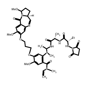 C=CN(C)C(=O)c1cc(OC)c(OCCCOc2cc3c(cc2OC)C(=O)N2C(OC)CC[C@H]2C=N3)cc1N(C)C(C)NC(=O)[C@H](C)NC(=O)[C@H](CC)NN1C(=O)CCC1=O